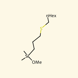 CCCCCCCSCCC[Si](C)(C)OC